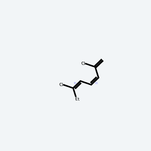 C=C(Cl)/C=C\C=C(\Cl)CC